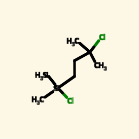 CC(C)(Cl)CC[Si](C)([SiH3])Cl